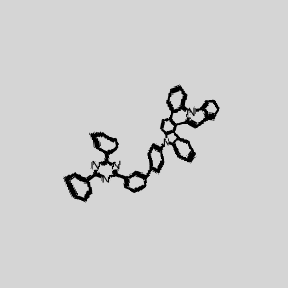 c1ccc(-c2nc(-c3ccccc3)nc(-c3cccc(-c4ccc(-n5c6ccccc6c6c7c(ccc65)c5ccccc5n5c6ccccc6cc75)cc4)c3)n2)cc1